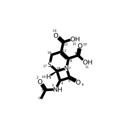 CC(=O)NC1C(=O)N2C(C(=O)O)=C(C(=O)O)CS[C@@H]12